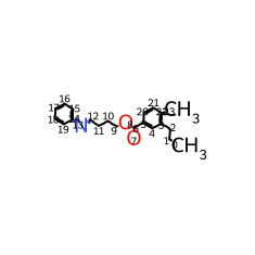 CCCc1cc(C(=O)OCCCC=Nc2ccccc2)ccc1C